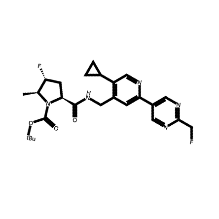 C[C@H]1[C@H](F)C[C@@H](C(=O)NCc2cc(-c3cnc(CF)nc3)ncc2C2CC2)N1C(=O)OC(C)(C)C